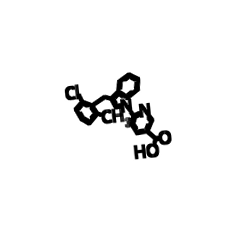 Cc1cccc(Cl)c1Cc1cn(-c2ccc(C(=O)O)cn2)c2ccccc12